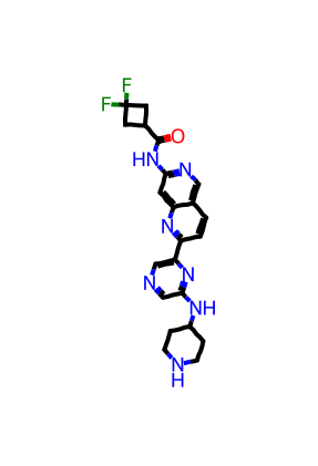 O=C(Nc1cc2nc(-c3cncc(NC4CCNCC4)n3)ccc2cn1)C1CC(F)(F)C1